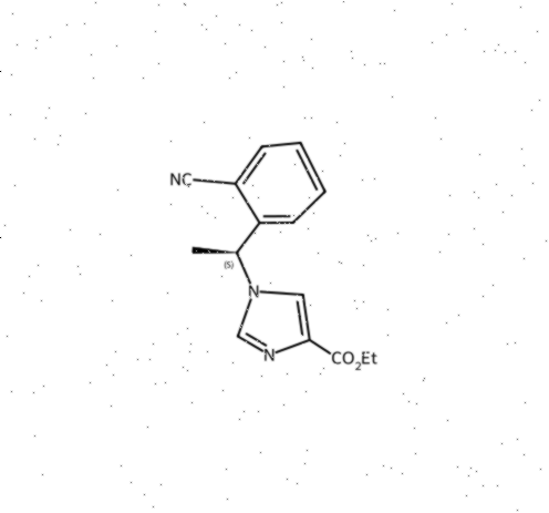 CCOC(=O)c1cn([C@@H](C)c2ccccc2C#N)cn1